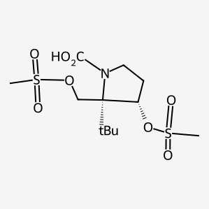 CC(C)(C)[C@@]1(COS(C)(=O)=O)[C@@H](OS(C)(=O)=O)CCN1C(=O)O